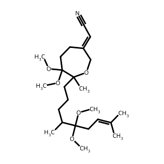 COC(CC=C(C)C)(OC)C(C)CCCC1(C)OC/C(=C/C#N)CCC1(OC)OC